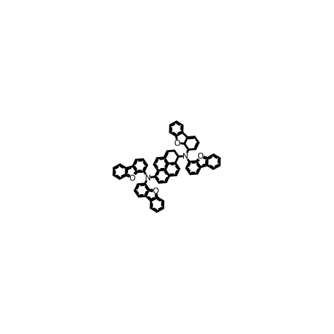 C1=CC(N(c2cccc3c2oc2ccccc23)C2CC=c3ccc4c(N(c5cccc6c5oc5ccccc56)c5cccc6c5oc5ccccc56)ccc5ccc2c3c54)C2Oc3ccccc3C2=C1